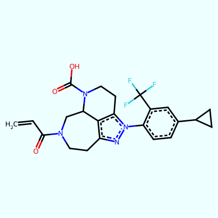 C=CC(=O)N1CCc2nn(-c3ccc(C4CC4)cc3C(F)(F)F)c3c2C(C1)N(C(=O)O)CC3